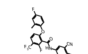 Cc1ccc(NC(=O)c2c(Oc3ccc(F)cc3C)ccc(C(F)(F)F)c2F)cc1C#N